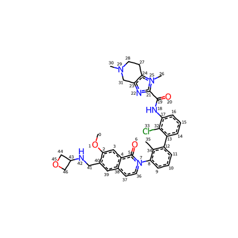 COc1cc2c(=O)n(-c3cccc(-c4cccc(NC(=O)c5nc6c(n5C)CCN(C)C6)c4Cl)c3C)ccc2cc1CNC1COC1